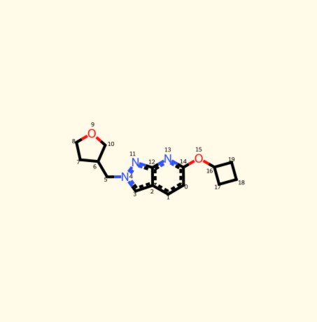 c1cc2cn(CC3CCOC3)nc2nc1OC1CCC1